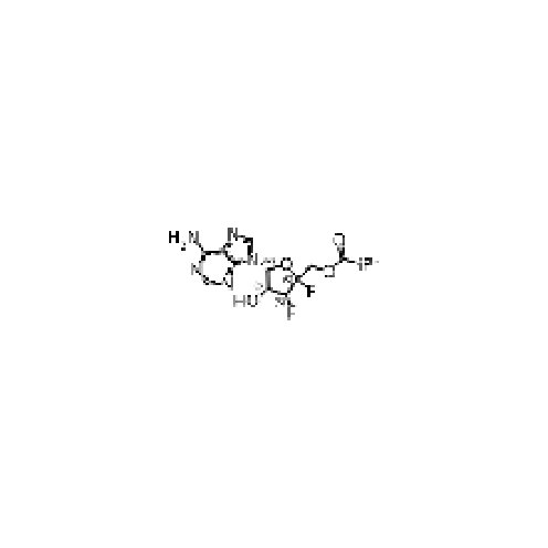 CC(C)C(=O)OC[C@@]1(F)O[C@@H](n2cnc3c(N)ncnc32)[C@H](O)[C@@H]1F